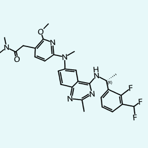 COc1nc(N(C)c2ccc3nc(C)nc(N[C@H](C)c4cccc(C(F)F)c4F)c3c2)ccc1CC(=O)N(C)C